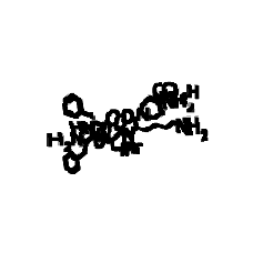 CC(C)CC(NC(=O)[C@@H](Cc1ccccc1)NC(=O)C(N)Cc1ccccc1)C(=O)N[C@H](CCCCN)C(=O)N1CCC(N)(C(=O)O)CC1